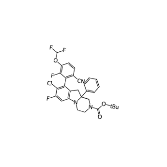 CC(C)(C)OC(=O)N1CCN2c3cc(F)c(Cl)c(-c4c(C#N)ccc(OC(F)F)c4F)c3CC2(c2ccccc2)C1